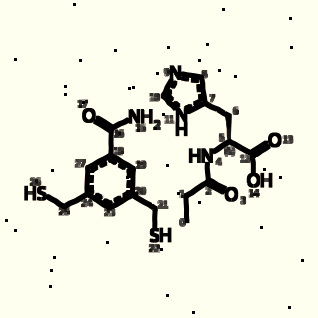 CCC(=O)N[C@@H](Cc1cnc[nH]1)C(=O)O.NC(=O)c1cc(CS)cc(CS)c1